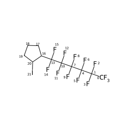 FC(F)(F)C(F)(F)C(F)(F)C(F)(F)C(F)(F)C(F)(F)C1CCCC1I